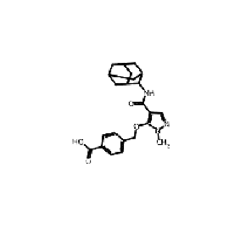 Cn1ncc(C(=O)NC2C3CC4CC(C3)CC2C4)c1OCc1ccc(C(=O)O)cc1